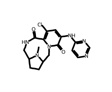 CN1C2CCC1Cn1c(c(Cl)cc(Nc3ccncn3)c1=O)C(=O)NC2